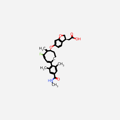 C=C1/C(F)=C\C=C(\c2c(C)cc(C(=O)NC)cc2C)CCC[C@H]1Oc1ccc2c(c1)OC[C@H]2CC(=O)O